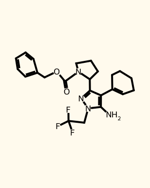 Nc1c(C2=CCCCC2)c(C2CCCN2C(=O)OCc2ccccc2)nn1CC(F)(F)F